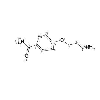 NCCCOc1ccc(C(N)=O)cc1